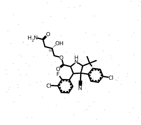 CC(C)(C)C1NC(C(=O)OC[C@@H](O)CC(N)=O)C(c2cccc(Cl)c2F)C1(C#N)c1ccc(Cl)cc1